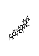 CCN(C)c1cc(C(F)(F)F)c(-c2cnc3c(Nc4ccc(C(F)(F)F)cn4)ccnc3n2)nn1